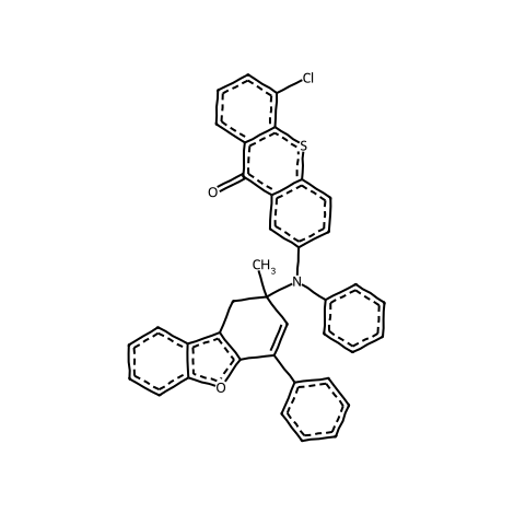 CC1(N(c2ccccc2)c2ccc3sc4c(Cl)cccc4c(=O)c3c2)C=C(c2ccccc2)c2oc3ccccc3c2C1